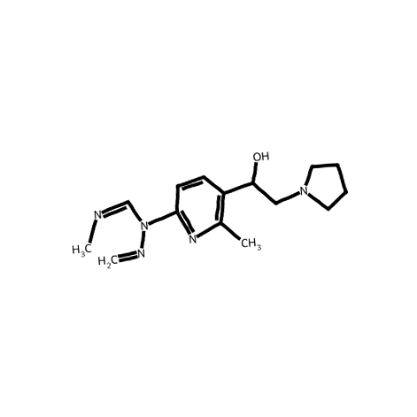 C=NN(/C=N\C)c1ccc(C(O)CN2CCCC2)c(C)n1